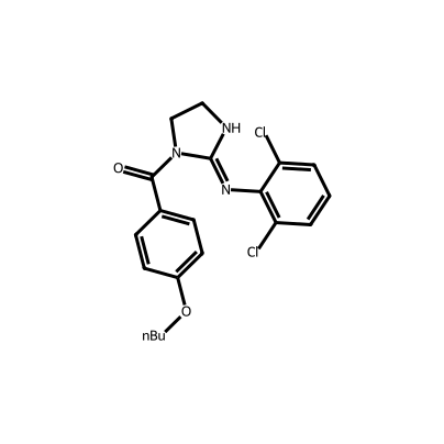 CCCCOc1ccc(C(=O)N2CCNC2=Nc2c(Cl)cccc2Cl)cc1